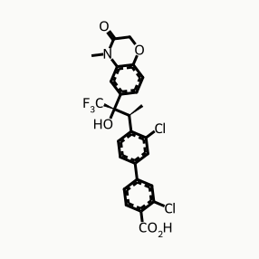 C[C@@H](c1ccc(-c2ccc(C(=O)O)c(Cl)c2)cc1Cl)[C@](O)(c1ccc2c(c1)N(C)C(=O)CO2)C(F)(F)F